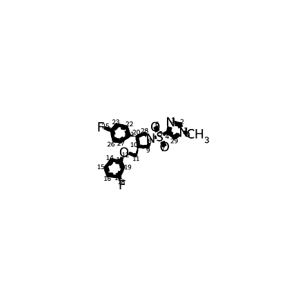 Cn1cnc(S(=O)(=O)N2C[C@@H](COc3cccc(F)c3)[C@H](c3ccc(F)cc3)C2)c1